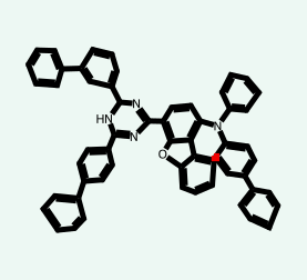 c1ccc(-c2ccc(C3=NC(c4ccc(N(c5ccccc5)c5ccc(-c6ccccc6)cc5)c5c4oc4ccccc45)=NC(c4cccc(-c5ccccc5)c4)N3)cc2)cc1